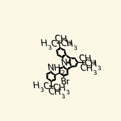 CC(C)(C)c1ccc(N)c(-c2cc3c(cc2Br)c2cc(C(C)(C)C)cc4c5cc(C(C)(C)C)ccc5n3c42)c1